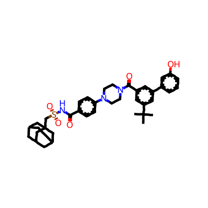 CC(C)(C)c1cc(C(=O)N2CCN(c3ccc(C(=O)NS(=O)(=O)CC45CC6CC(CC(C6)C4)C5)cc3)CC2)cc(-c2cccc(O)c2)c1